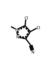 Cn1nc(C#N)c(Cl)c1Cl